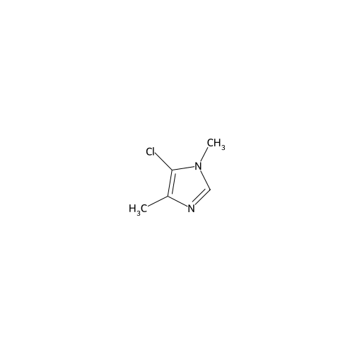 Cc1ncn(C)c1Cl